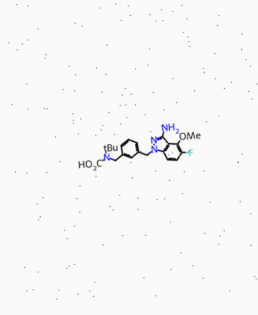 COc1c(F)ccc2c1c(N)nn2Cc1cccc(CN(C(=O)O)C(C)(C)C)c1